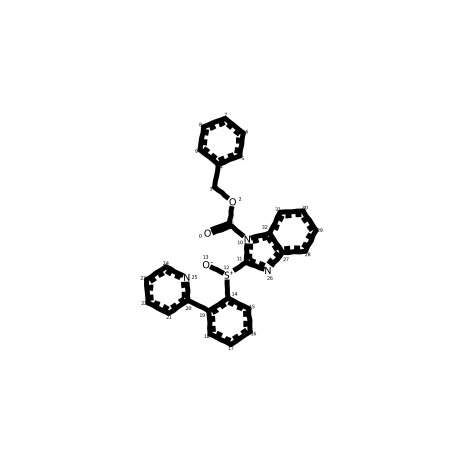 O=C(OCc1ccccc1)n1c([S+]([O-])c2ccccc2-c2ccccn2)nc2ccccc21